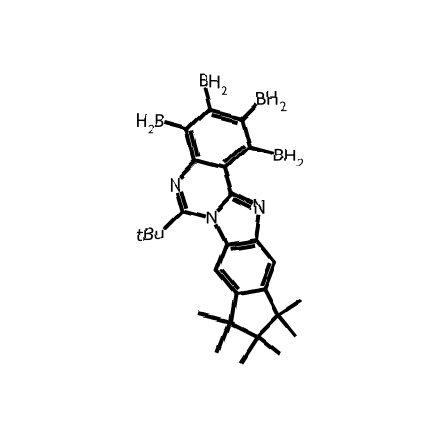 Bc1c(B)c(B)c2c(nc(C(C)(C)C)n3c4cc5c(cc4nc23)C(C)(C)C(C)(C)C5(C)C)c1B